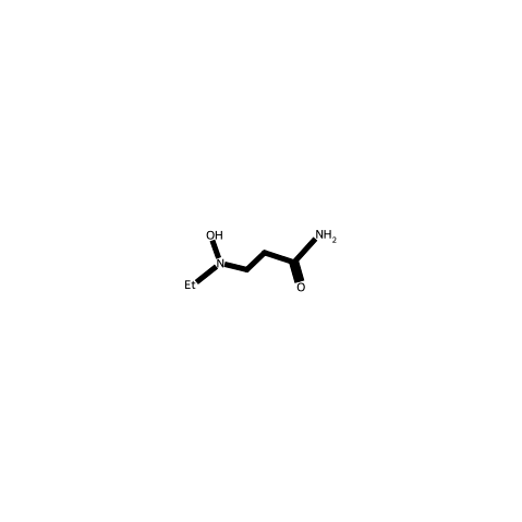 CCN(O)CCC(N)=O